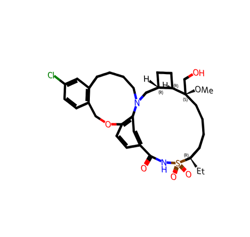 CC[C@@H]1CCCC[C@](CO)(OC)[C@@H]2CC[C@H]2CN2CCCCc3cc(Cl)ccc3COc3ccc(cc32)C(=O)NS1(=O)=O